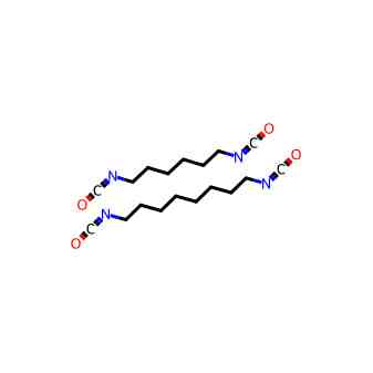 O=C=NCCCCCCCCN=C=O.O=C=NCCCCCCN=C=O